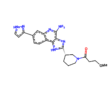 COCCC(=O)N1CCC[C@H](c2nc3c(N)nc4cc(-c5cc[nH]n5)ccc4c3[nH]2)C1